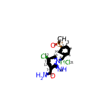 C[S+]([O-])c1cccc(Cn2cc(Cl)cc(C(N)=O)c2=N)c1.Cl